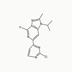 Cc1nc2c(F)nc(-c3ccnc(Cl)n3)cc2n1C(C)C